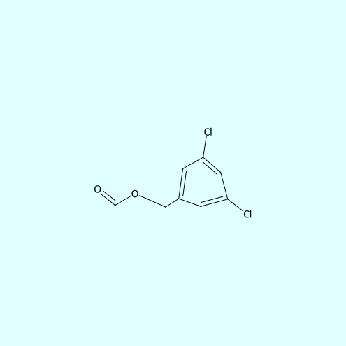 O=COCc1cc(Cl)cc(Cl)c1